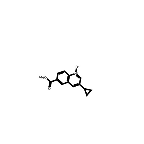 COC(=O)c1ccc2c(c1)cc(C1CC1)c[n+]2[O-]